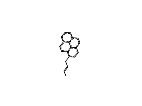 CC=CCc1ccc2ccc3cccc4ccc1c2c34